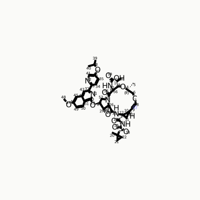 CC[C@@H]1O[C@H](C)CC/C=C\[C@@H]2C[C@@]2(C(=O)NS(=O)(=O)C2(C)CC2)NC(=O)[C@@H]2C[C@@H](Oc3nc(-c4ccc(OC(C)C)cn4)cc4cc(OC)ccc34)CN2C(=O)[C@H]1NC(=O)O